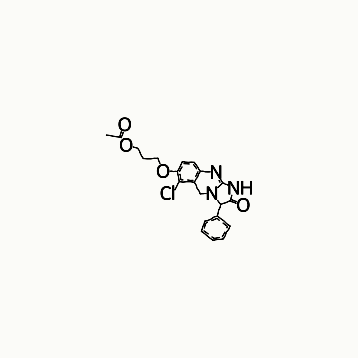 CC(=O)OCCCOc1ccc2c(c1Cl)CN1C(=N2)NC(=O)C1c1ccccc1